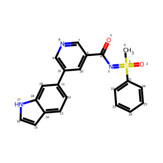 CS(=O)(=NC(=O)c1cncc(-c2ccc3cc[nH]c3c2)c1)c1ccccc1